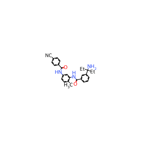 CCC(N)(CC)c1cccc(C(=O)Nc2cc(NC(=O)c3ccc(C#N)cc3)ccc2C)c1